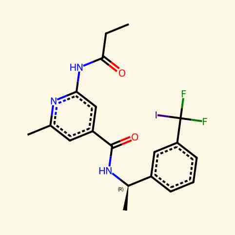 CCC(=O)Nc1cc(C(=O)N[C@H](C)c2cccc(C(F)(F)I)c2)cc(C)n1